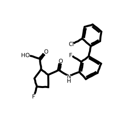 O=C(O)C1CC(F)CC1C(=O)Nc1cccc(-c2ccccc2Cl)c1F